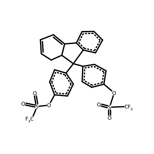 O=S(=O)(Oc1ccc(C2(c3ccc(OS(=O)(=O)C(F)(F)F)cc3)c3ccccc3C3=CC=CCC32)cc1)C(F)(F)F